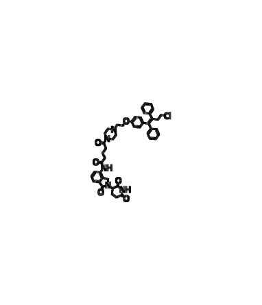 O=C1CCC(N2Cc3c(NC(=O)CCCC(=O)N4CCN(CCOc5ccc(/C(=C(/CCCl)c6ccccc6)c6ccccc6)cc5)CC4)cccc3C2=O)C(=O)N1